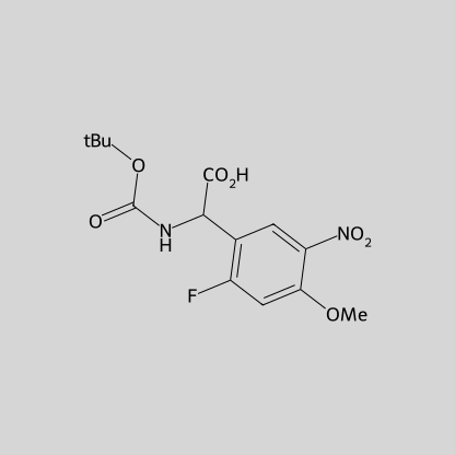 COc1cc(F)c(C(NC(=O)OC(C)(C)C)C(=O)O)cc1[N+](=O)[O-]